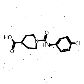 O=C(O)C1CCN(C(=O)Nc2ccc(Cl)cc2)CC1